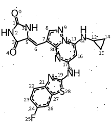 O=C1NC(=O)/C(=C/c2cnn3c(NC4CC4)cc(Nc4nc5ccc(F)cc5s4)nc23)N1